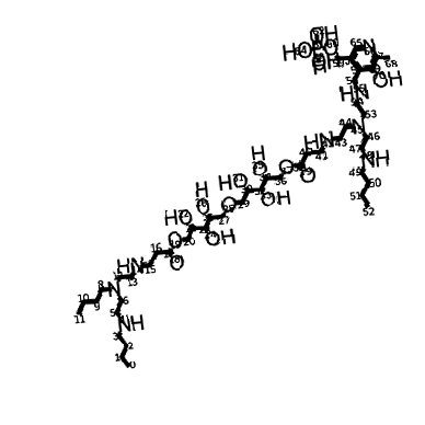 CCCCNCCN(CCCC)CCNCCC(=O)OCC(O)C(O)C(O)COCC(O)C(O)C(O)COC(=O)CCNCCN(CCNCCCC)CCNCc1c(CO[PH](O)(O)O)cnc(C)c1O